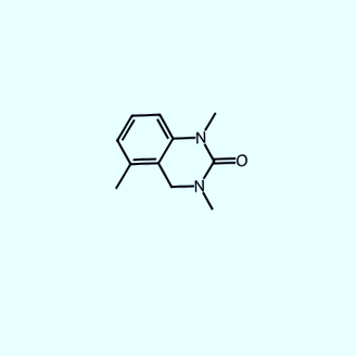 Cc1cccc2c1CN(C)C(=O)N2C